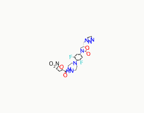 O=C(c1ccc([N+](=O)[O-])o1)N1CCN(c2c(F)cc(N3C[C@H](Cn4ccnn4)OC3=O)cc2F)CCN1